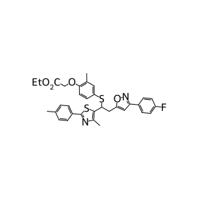 CCOC(=O)COc1ccc(SC(Cc2cc(-c3ccc(F)cc3)no2)c2sc(-c3ccc(C)cc3)nc2C)cc1C